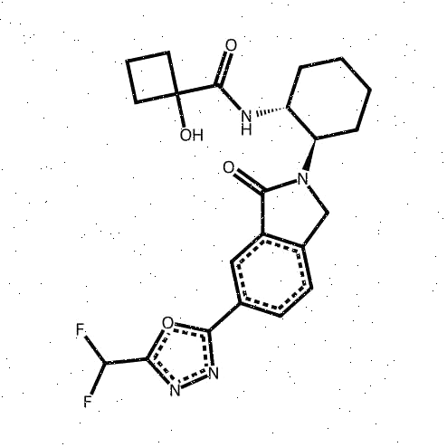 O=C1c2cc(-c3nnc(C(F)F)o3)ccc2CN1[C@@H]1CCCC[C@H]1NC(=O)C1(O)CCC1